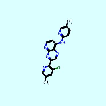 Cc1cnc(-c2cnc3c(Nc4ccc(C(F)(F)F)cn4)ccnc3n2)c(Cl)c1